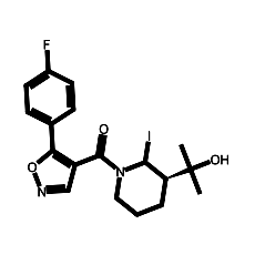 CC(C)(O)[C@H]1CCCN(C(=O)c2cnoc2-c2ccc(F)cc2)C1I